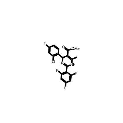 COC(=O)C1=C(C)NC(c2c(F)cc(F)cc2F)=NC1c1ccc(F)cc1Cl